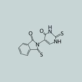 O=C1c2ccccc2C(=S)N1c1c[nH]c(=S)[nH]c1=O